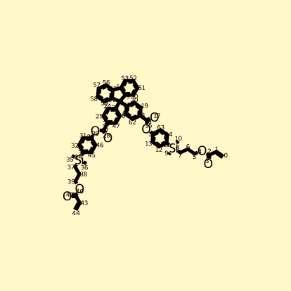 C=CC(=O)OCCC[Si](C)(C)c1ccc(OC(=O)c2ccc(C3(c4ccc(C(=O)Oc5ccc([Si](C)(C)CCCOC(=O)C=C)cc5)cc4)c4ccccc4-c4ccccc43)cc2)cc1